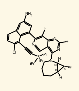 CC(C)[Si](C#Cc1c(Cl)ccc2cc(N)cc(-c3ncc4c(N5CCCC[C@H]6[C@H](F)[C@H]65)nc(F)nc4c3F)c12)(C(C)C)C(C)C